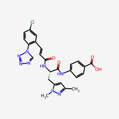 Cc1cc(C[C@H](NC(=O)/C=C/c2cc(Cl)ccc2-n2cnnn2)C(=O)Nc2ccc(C(=O)O)cc2)n(C)n1